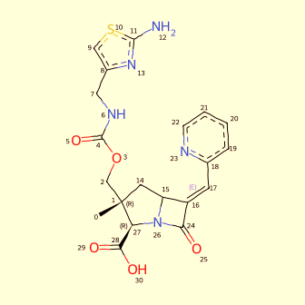 C[C@@]1(COC(=O)NCc2csc(N)n2)CC2/C(=C\c3ccccn3)C(=O)N2[C@H]1C(=O)O